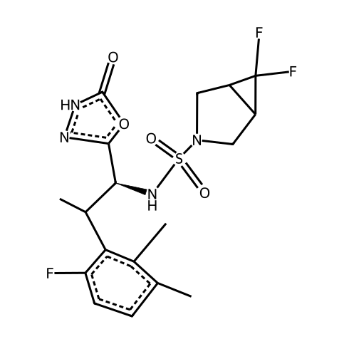 Cc1ccc(F)c(C(C)[C@H](NS(=O)(=O)N2CC3C(C2)C3(F)F)c2n[nH]c(=O)o2)c1C